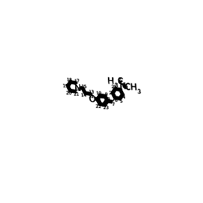 CN(C)[C@H]1CC[C@H](Cc2ccc(OCCCN3CCCCC3)cc2)CC1